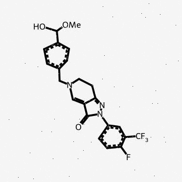 COC(O)c1ccc(CN2C=C3C(=O)N(c4ccc(F)c(C(F)(F)F)c4)N=C3CC2)cc1